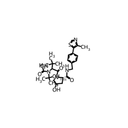 Cc1ncsc1-c1ccc(CNC(=O)[C@@H]2C[C@@H](O)CN2C(=O)C(N(C(=O)O)C(C)(C)C)C(C)(C)C)cc1